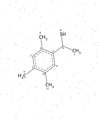 Cc1cc(C)c(C(C)S)cc1C